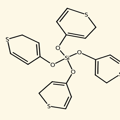 C1=CC(O[Si](OC2=CCSC=C2)(OC2=CCSC=C2)OC2=CCSC=C2)=CCS1